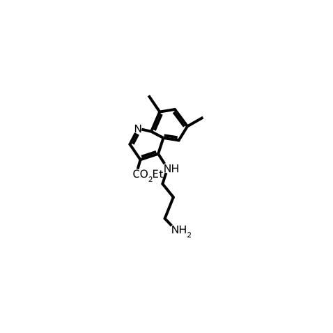 CCOC(=O)c1cnc2c(C)cc(C)cc2c1NCCCN